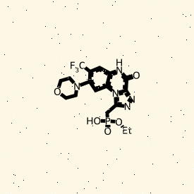 CCOP(=O)(O)Cc1nnc2c(=O)[nH]c3cc(C(F)(F)F)c(N4CCOCC4)cc3n12